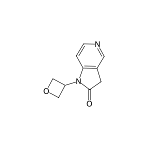 O=C1Cc2cnccc2N1C1COC1